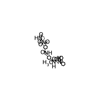 CC(C)(NC(=O)Cn1c2ccccc2c2cccnc21)c1ccc(CNC(=O)c2ccc3c(c2)C(=O)N(C2CCC(=O)NC2=O)C3=O)cc1